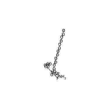 COCCOCCOCCOCCOCCOCCOCCOCCOCCOCCOCCOCCN(CCCCCC(=O)ON1C(=O)CCC1=O)C(=O)c1cc2cc(F)c(N)c(F)c2oc1=O